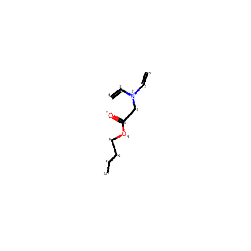 C=CN(C=C)CC(=O)OCCCC